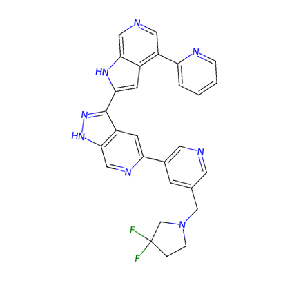 FC1(F)CCN(Cc2cncc(-c3cc4c(-c5cc6c(-c7ccccn7)cncc6[nH]5)n[nH]c4cn3)c2)C1